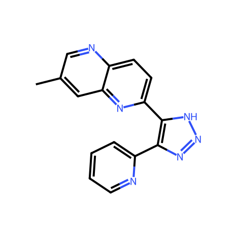 Cc1cnc2ccc(-c3[nH]nnc3-c3ccccn3)nc2c1